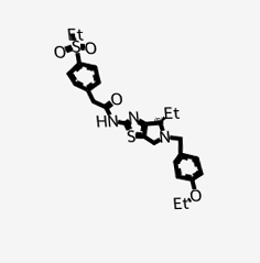 CCOc1ccc(CN2Cc3sc(NC(=O)Cc4ccc(S(=O)(=O)CC)cc4)nc3[C@H]2CC)cc1